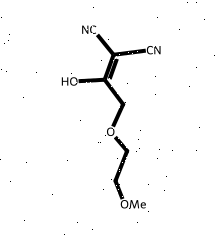 COCCOCC(O)=C(C#N)C#N